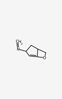 C=NC1C=C2OCC2C1